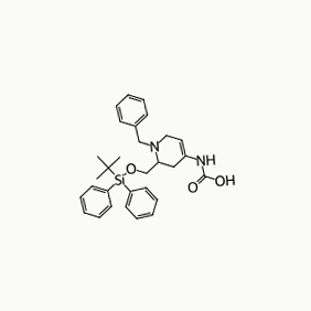 CC(C)(C)[Si](OCC1CC(NC(=O)O)=CCN1Cc1ccccc1)(c1ccccc1)c1ccccc1